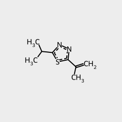 C=C(C)c1nnc(C(C)C)s1